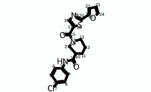 O=C(Nc1ccc(Cl)cc1)C1CCCN(C(=O)c2cnc(-c3ccco3)s2)C1